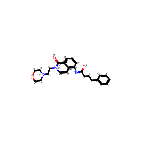 O=C(CCCc1ccccc1)Nc1cccc2c(=O)n(CCN3CCOCC3)ccc12